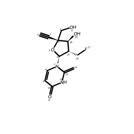 C#C[C@]1(CO)O[C@@H](N2C=CC(=O)NC2=C)[C@@H](CF)[C@@H]1O